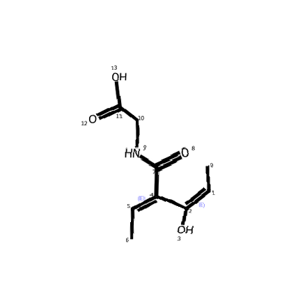 C/C=C(O)\C(=C/C)C(=O)NCC(=O)O